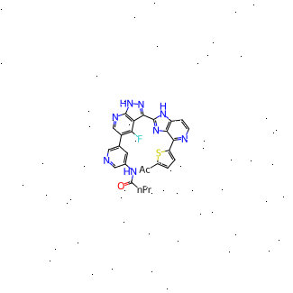 CCCC(=O)Nc1cncc(-c2cnc3[nH]nc(-c4nc5c(-c6ccc(C(C)=O)s6)nccc5[nH]4)c3c2F)c1